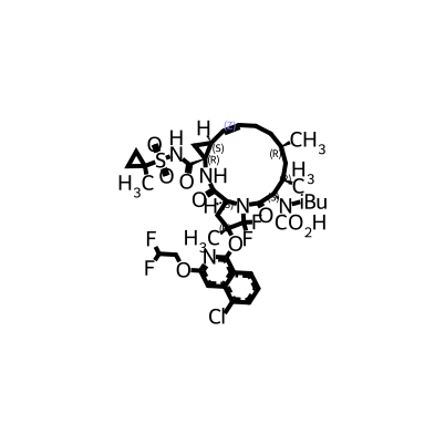 CCC(C)N(C(=O)O)[C@@H]1C(=O)N2[C@@H](C[C@@](C)(Oc3nc(OCC(F)F)cc4c(Cl)cccc34)C2(F)F)C(=O)N[C@]2(C(=O)NS(=O)(=O)C3(C)CC3)C[C@H]2/C=C\CC[C@@H](C)C[C@H]1C